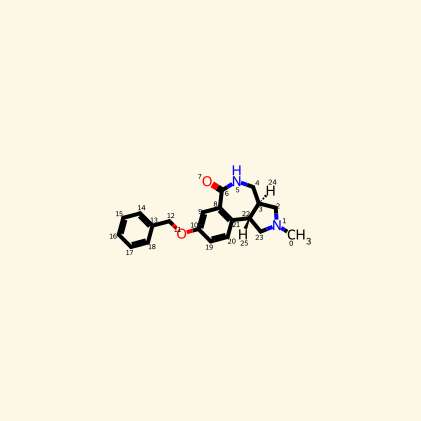 CN1C[C@@H]2CNC(=O)c3cc(OCc4ccccc4)ccc3[C@H]2C1